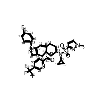 Cn1ccc(S(=O)(=O)N(C2CC2)[C@H]2CCC3=Cc4c(cnn4-c4ccc(F)cc4)C[C@]3(C(=O)c3ccc(C(F)(F)F)cn3)C2)n1